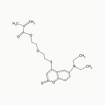 C=C(C)C(=O)OCCOCCSc1cc(=S)oc2ccc(N(CC)CC)cc12